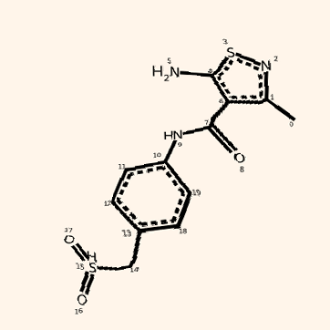 Cc1nsc(N)c1C(=O)Nc1ccc(C[SH](=O)=O)cc1